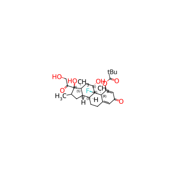 CC1C[C@H]2[C@@H]3CCC4=CC(=O)C=C(OC(=O)C(C)(C)C)[C@]4(C)[C@@]3(F)[C@@H](O)C[C@]2(C)[C@@]1(O)C(=O)CO